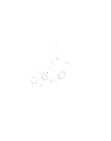 Cc1cccc(C)c1-c1cc2nc(n1)NS(=O)(=O)c1cccc(c1)C1C[C@@H](CN(C3CCC(F)(F)CC3)CC1C(C)C)O2